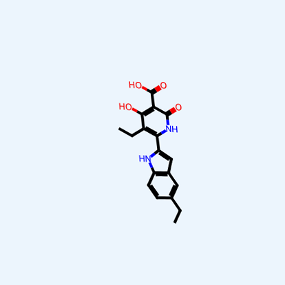 CCc1ccc2[nH]c(-c3[nH]c(=O)c(C(=O)O)c(O)c3CC)cc2c1